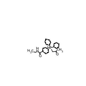 CCNC(=O)c1ccc([PH](CC(C)=O)(c2ccccc2)c2ccccc2)cc1